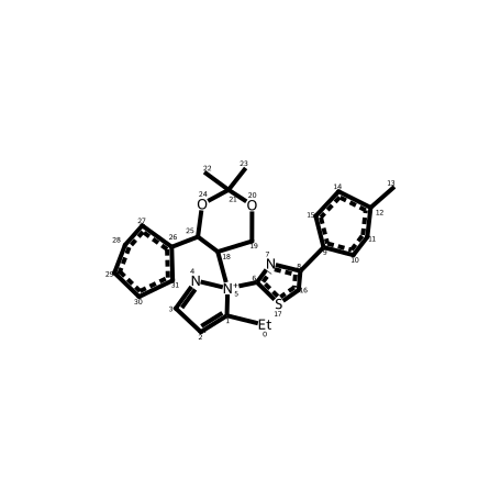 CCC1=[C]C=N[N+]1(c1nc(-c2ccc(C)cc2)cs1)C1COC(C)(C)OC1c1ccccc1